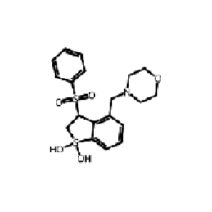 O=S(=O)(c1ccccc1)C1CS(O)(O)c2cccc(CN3CCOCC3)c21